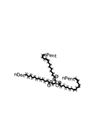 CCCCC/C=C\C/C=C\C/C=C\CCCCCCC(=O)O[C@H](COC(=O)CCCCCCC/C=C\C/C=C\CCCCC)COC(=O)CCCCCCCCCCCCCCCCCCCCC